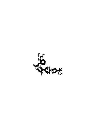 COC(=O)C1CCN(c2ncc(-c3cn4c(Cc5ccccc5OC(F)F)c(C)nc4cc3F)cn2)CC1